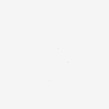 CC(C)(C)[Si](OCC(CO)c1cccnc1)(c1ccccc1)c1ccccc1